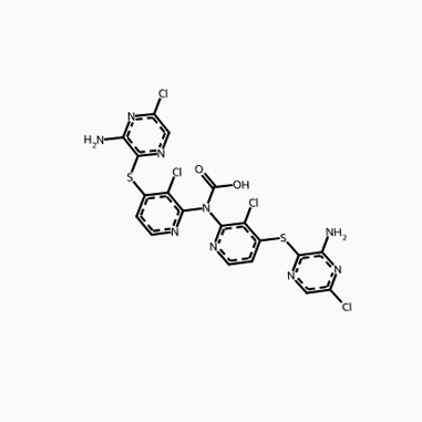 Nc1nc(Cl)cnc1Sc1ccnc(N(C(=O)O)c2nccc(Sc3ncc(Cl)nc3N)c2Cl)c1Cl